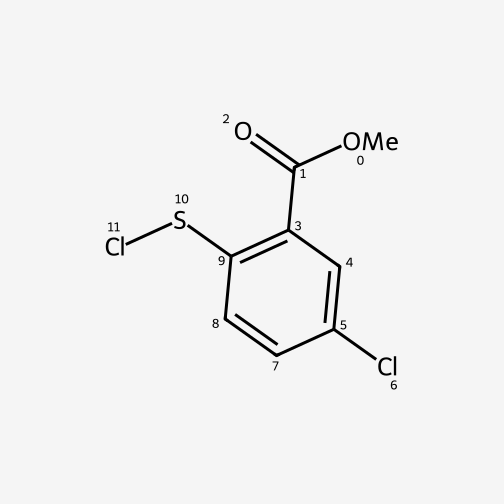 COC(=O)c1cc(Cl)ccc1SCl